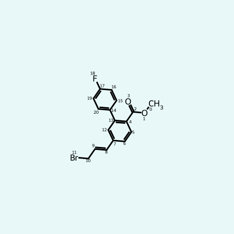 COC(=O)c1ccc(C=CCBr)cc1-c1ccc(F)cc1